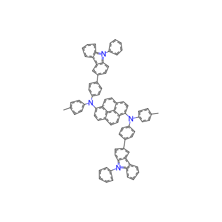 Cc1ccc(N(c2ccc(-c3ccc4c(c3)c3ccccc3n4-c3ccccc3)cc2)c2ccc3ccc4c(N(c5ccc(C)cc5)c5ccc(-c6ccc7c(c6)c6ccccc6n7-c6ccccc6)cc5)ccc5ccc2c3c54)cc1